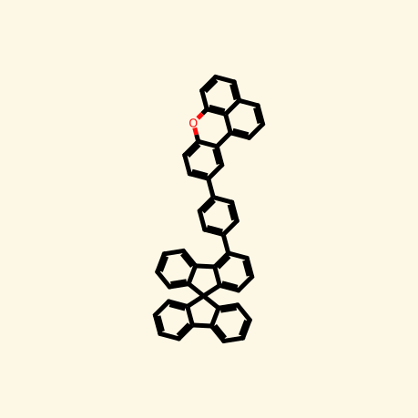 c1ccc2c(c1)-c1ccccc1C21c2ccccc2-c2c(-c3ccc(-c4ccc5c(c4)-c4cccc6cccc(c46)O5)cc3)cccc21